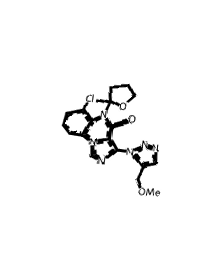 COCc1cnnn1-c1ncn2c1c(=O)n(C1(C)CCCO1)c1c(Cl)cccc12